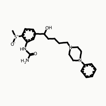 C[S+]([O-])c1ccc(C(O)CCCCN2CCN(c3ccccc3)CC2)cc1NC(N)=O